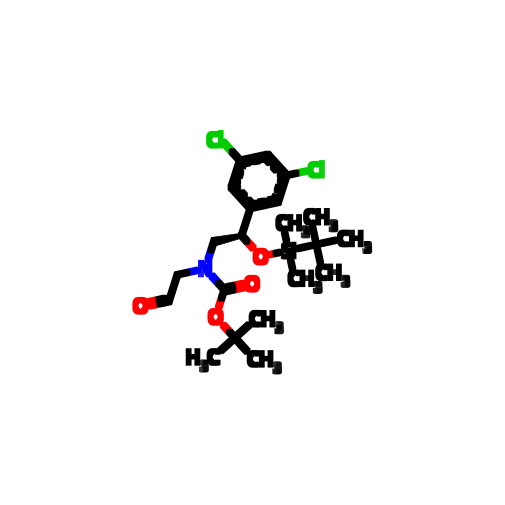 CC(C)(C)OC(=O)N(CC=O)C[C@H](O[Si](C)(C)C(C)(C)C)c1cc(Cl)cc(Cl)c1